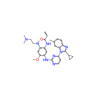 C=CC(=O)Nc1cc(Nc2nccc(-n3c(C4CC4)nc4ccc(C)cc43)n2)c(OC)cc1N(C)CCN(C)C